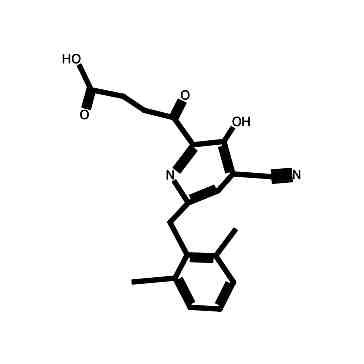 Cc1cccc(C)c1Cc1cc(C#N)c(O)c(C(=O)CCC(=O)O)n1